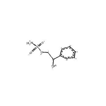 NS(=O)(=O)OCC(O)c1ccccc1